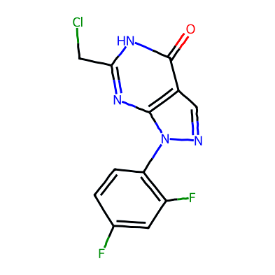 O=c1[nH]c(CCl)nc2c1cnn2-c1ccc(F)cc1F